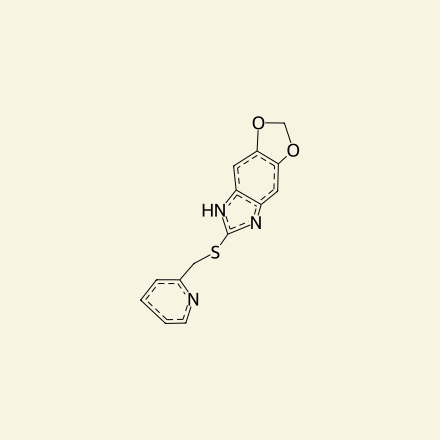 c1ccc(CSc2nc3cc4c(cc3[nH]2)OCO4)nc1